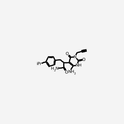 C#CCn1c(=O)[nH]c(N)c(C(Cc2ccc(C(C)C)cc2)C(N)=O)c1=O